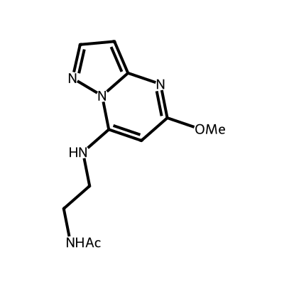 COc1cc(NCCNC(C)=O)n2nccc2n1